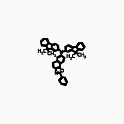 CC1(C)c2ccccc2-c2ccc(N(c3ccc4c(c3)C(C)(C)c3ccccc3-4)c3ccc4c(ccc5nc(-c6ccccc6)oc54)c3)cc21